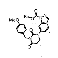 COc1ccc(CN2C(=O)CCN(c3ccc4cnn(C(=O)OC(C)(C)C)c4c3)C2=O)cc1